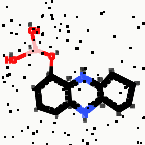 OB(O)Oc1cccc2nc3ccccc3nc12